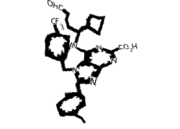 Cc1cccc(-c2nc3nc(C(=O)O)nc(NC(CCC=O)C4CCC4)c3n2Cc2ccc(C(F)(F)F)cc2)c1